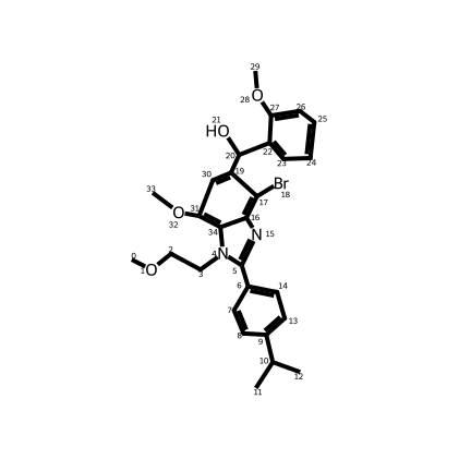 COCCn1c(-c2ccc(C(C)C)cc2)nc2c(Br)c(C(O)c3ccccc3OC)cc(OC)c21